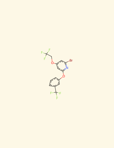 FC(F)(F)COc1cc(Br)nc(Oc2cccc(C(F)(F)F)c2)c1